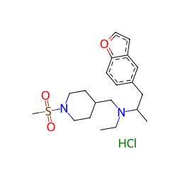 CCN(CC1CCN(S(C)(=O)=O)CC1)C(C)Cc1ccc2occc2c1.Cl